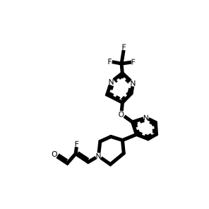 O=CC(F)=CN1CCC(c2cccnc2Oc2cnc(C(F)(F)F)nc2)CC1